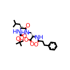 CC(C)C[C@H](NC(=O)OC(C)(C)C)C(=O)NC[C@H](NC(=O)CCc1ccccc1)C(=O)O